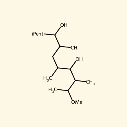 CCCC(C)C(O)C(C)CC(C)C(O)C(C)C(C)OC